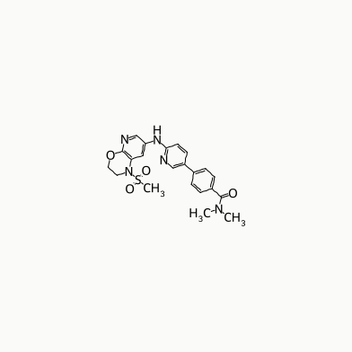 CN(C)C(=O)c1ccc(-c2ccc(Nc3cnc4c(c3)N(S(C)(=O)=O)CCO4)nc2)cc1